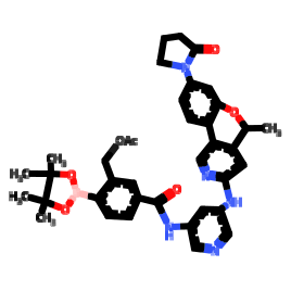 CC(=O)OCc1cc(C(=O)Nc2cncc(Nc3cc4c(cn3)-c3ccc(N5CCCC5=O)cc3OC4C)c2)ccc1B1OC(C)(C)C(C)(C)O1